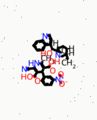 C=C[C@H]1C[N@]2CC[C@H]1C[C@H]2[C@H](O)c1ccnc2ccccc12.CC1=C(C(=O)O)C(c2cccc([N+](=O)[O-])c2)C(C(=O)O)=C(C#N)N1